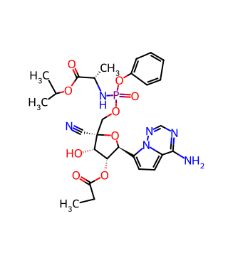 CCC(=O)O[C@H]1[C@H](c2ccc3c(N)ncnn23)O[C@](C#N)(COP(=O)(N[C@@H](C)C(=O)OC(C)C)Oc2ccccc2)[C@H]1O